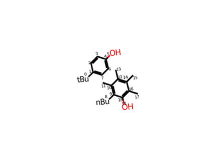 CC(C)(C)c1ccc(O)cc1.CCCCc1c(C)c(C)c(C)c(C)c1O